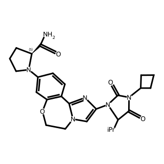 CC(C)C1C(=O)N(C2CCC2)C(=O)N1c1cn2c(n1)-c1ccc(N3CCC[C@H]3C(N)=O)cc1OCC2